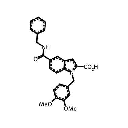 COc1ccc(Cn2c(C(=O)O)cc3cc(C(=O)NCc4ccccc4)ccc32)cc1OC